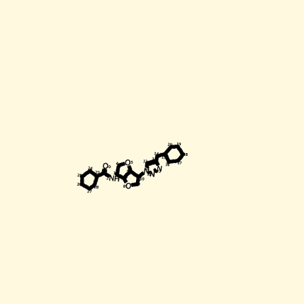 O=C(NC1COC2C1OCC2n1cc(CC2CCCCC2)nn1)C1CCCCC1